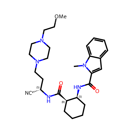 COCCN1CCN(CC[C@@H](C#N)NC(=O)[C@@H]2CCCC[C@@H]2NC(=O)c2cc3ccccc3n2C)CC1